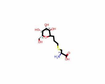 N[C@@H](CSCCCC1O[C@H](CO)[C@H](O)[C@H](O)[C@H]1O)C(=O)O